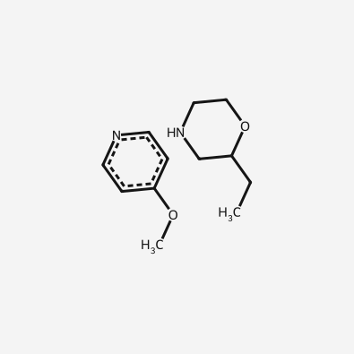 CCC1CNCCO1.COc1ccncc1